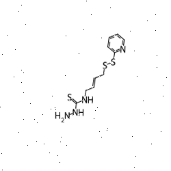 NNC(=S)NCC=CCSSc1ccccn1